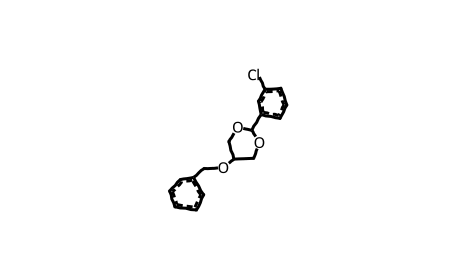 Clc1cccc(C2OCC(OCc3ccccc3)CO2)c1